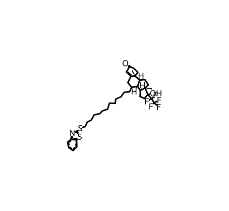 C[C@]12CCC(=O)C=C1CC(CCCCCCCCCCCCCSc1nc3ccccc3s1)[C@@H]1[C@H]2CC[C@@]2(C)[C@H]1CCC2(O)C(F)(F)C(F)(F)F